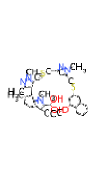 Cc1ccc2c3c(C(O)O)n(C)c2c1-c1c(C)nn(C)c1CSCc1cc(n(C)n1)CSc1cc(c2ccccc2c1)OCCC3